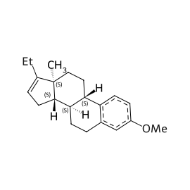 CCC1=CC[C@H]2[C@@H]3CCc4cc(OC)ccc4[C@H]3CC[C@]12C